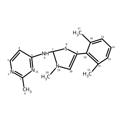 Cc1nccc(NC2SC(c3c(C)cccc3C)=CN2C)n1